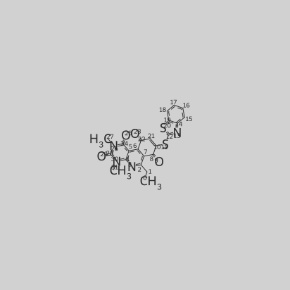 CCc1nc2c(c3c1C(=O)C(Sc1nc4ccccc4s1)=CC3=O)c(=O)n(C)c(=O)n2C